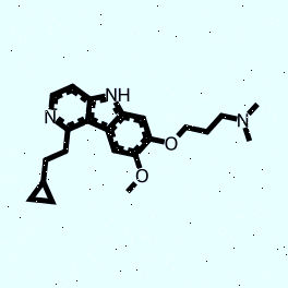 COc1cc2c(cc1OCCCN(C)C)[nH]c1ccnc(CCC3CC3)c12